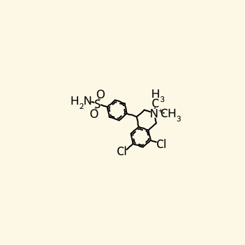 C[N+]1(C)Cc2c(Cl)cc(Cl)cc2C(c2ccc(S(N)(=O)=O)cc2)C1